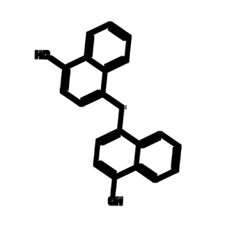 Oc1ccc([CH]c2ccc(O)c3ccccc23)c2ccccc12